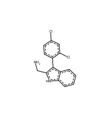 NCc1[nH]c2ccccc2c1-c1ccc(Cl)cc1Cl